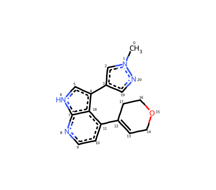 Cn1cc(-c2c[nH]c3nccc(C4=CCOCC4)c23)cn1